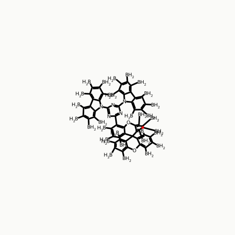 Bc1c(B)c(B)c2c(c1B)Oc1c(B)c(B)c(B)c(B)c1C21c2c(B)c(B)c(B)c(B)c2Oc2c(-c3nc(-n4c5c(B)c(B)c(B)c(B)c5c5c(B)c(B)c(B)c(B)c54)nc(-n4c5c(B)c(B)c(B)c(B)c5c5c(B)c(B)c(B)c(B)c54)n3)c(B)c(B)c(B)c21